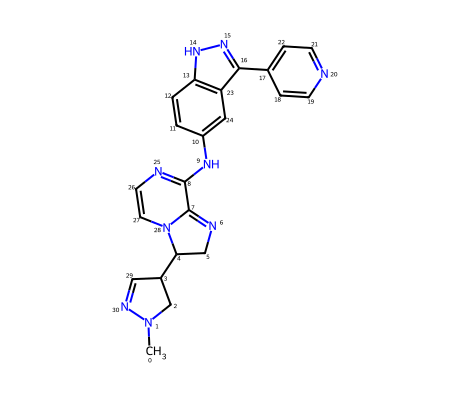 CN1CC(C2CN=C3C(Nc4ccc5[nH]nc(-c6ccncc6)c5c4)=NC=CN32)C=N1